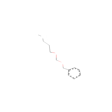 C[SiH2]CCCOCOCc1ccccc1